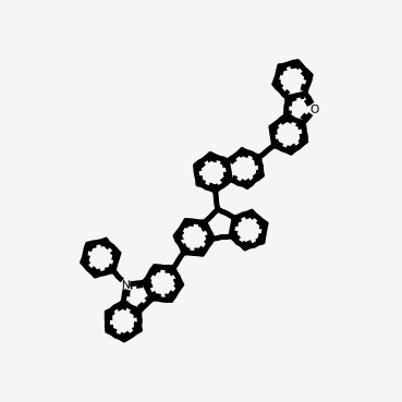 c1ccc(-n2c3ccccc3c3ccc(-c4ccc5c(c4)-c4ccccc4C5c4cccc5cc(-c6ccc7oc8ccccc8c7c6)ccc45)cc32)cc1